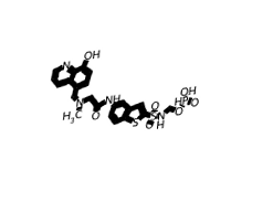 CN(CC(=O)Nc1ccc2sc(S(=O)(=O)NCO[PH](=O)O)cc2c1)Cc1ccc(O)c2ncccc12